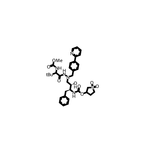 COC(=O)NC(C(=O)NN(Cc1ccc(-c2ccccn2)cc1)C[C@H](O)[C@H](Cc1ccccc1)NC(=O)OC1CCS(=O)(=O)C1)C(C)(C)C